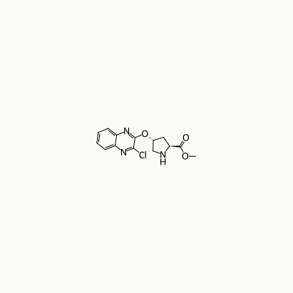 COC(=O)[C@@H]1C[C@@H](Oc2nc3ccccc3nc2Cl)CN1